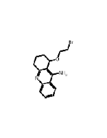 Nc1c2c(nc3ccccc13)CCCC2OCCBr